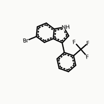 FC(F)(F)c1ccccc1-c1c[nH]c2ccc(Br)cc12